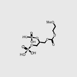 COCCOC(=O)OCC(COP(=O)(O)O)OP(=O)(O)O